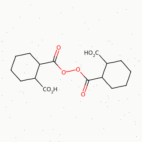 O=C(O)C1CCCCC1C(=O)OOC(=O)C1CCCCC1C(=O)O